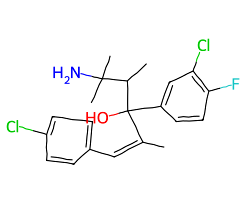 CC(=Cc1ccc(Cl)cc1)C(O)(c1ccc(F)c(Cl)c1)C(C)C(C)(C)N